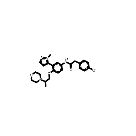 CC(COc1ccc(NC(=O)Cc2ccc(Cl)cc2)cc1-c1ccnn1C)N1CCOCC1